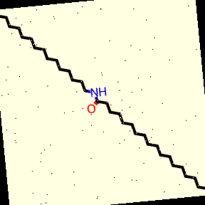 CCCCCCCCCCCCCCCCCC(=O)NCCCCCCCCCCCCCCC